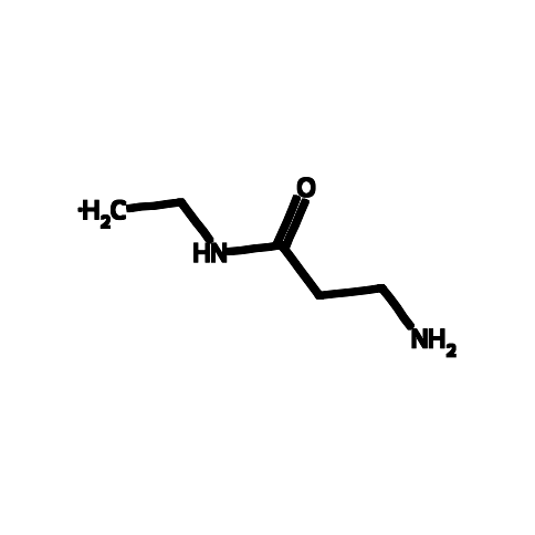 [CH2]CNC(=O)CCN